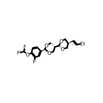 CC/C=C/[C@H]1CO[C@H]([C@H]2CO[C@H](c3ccc(OC(F)F)c(F)c3)OC2)OC1